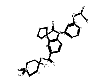 CC1(NC(=O)c2ccc3c(c2)C2(CCCC2)C(=O)N3c2cccc(OC(F)F)c2)CCS(=O)(=O)CC1